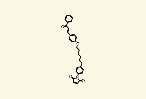 O=C(C=Cc1ccc(OCCCCCCc2ccc(N3C(=O)C=CC3=O)cc2)cc1)c1ccccc1